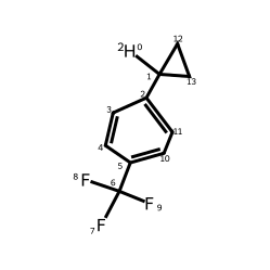 [2H]C1(c2ccc(C(F)(F)F)cc2)CC1